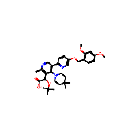 COc1ccc(COc2ccc(-c3cnc(C)c(C(OC(C)(C)C)C(=O)O)c3N3CCC(C)(C)CC3)nc2)c(OC)c1